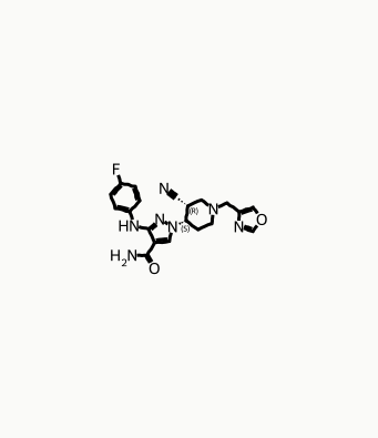 N#C[C@@H]1CN(Cc2cocn2)CC[C@@H]1n1cc(C(N)=O)c(Nc2ccc(F)cc2)n1